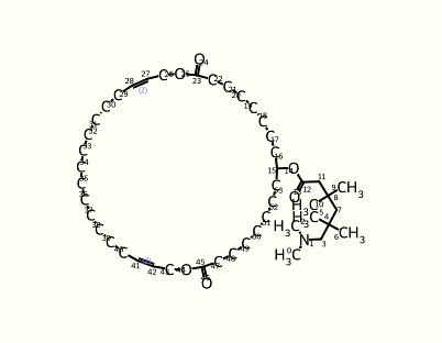 CN(C)CC(C)(C)CC(C)(C)CC(=O)OC1CCCCCCCC(=O)OC/C=C\CCCCCCCCCCCC/C=C\COC(=O)CCCCCCC1